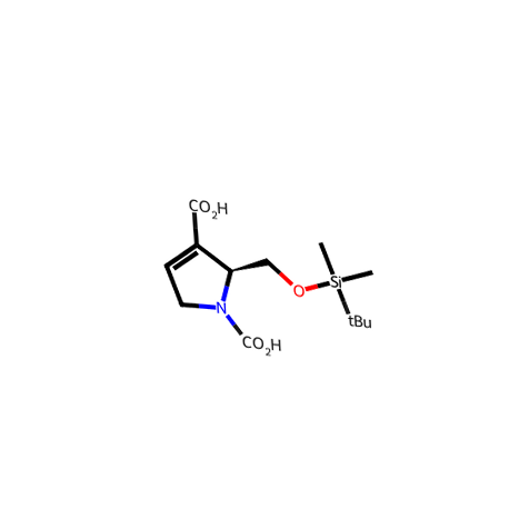 CC(C)(C)[Si](C)(C)OC[C@@H]1C(C(=O)O)=CCN1C(=O)O